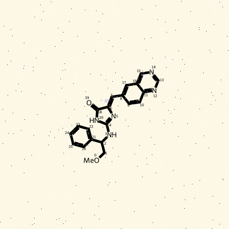 COCC(NC1=N/C(=C\c2ccc3ncncc3c2)C(=O)N1)c1ccccc1